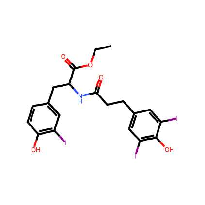 CCOC(=O)C(Cc1ccc(O)c(I)c1)NC(=O)CCc1cc(I)c(O)c(I)c1